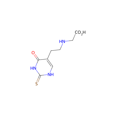 O=C(O)CNCCc1c[nH]c(=S)[nH]c1=O